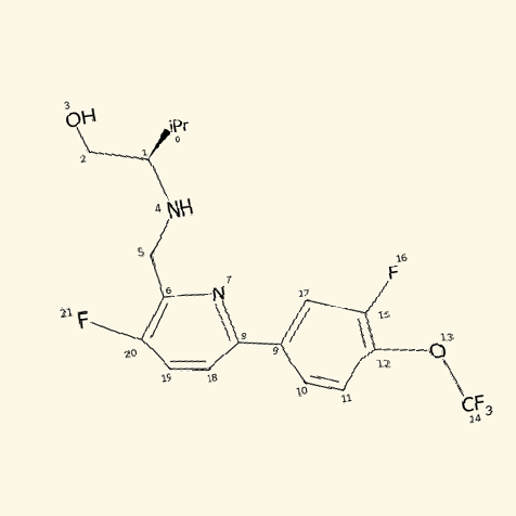 CC(C)[C@H](CO)NCc1nc(-c2ccc(OC(F)(F)F)c(F)c2)ccc1F